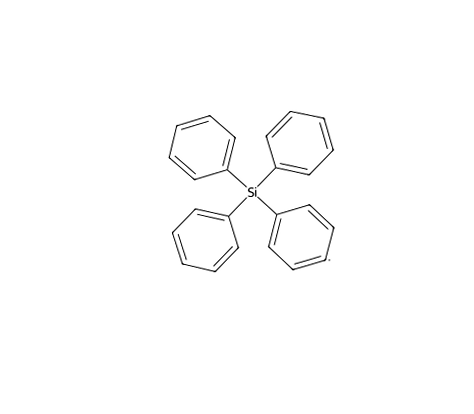 [c]1ccc([Si](c2ccccc2)(c2ccccc2)c2ccccc2)cc1